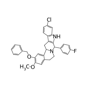 COc1cc2c(cc1OCc1ccccc1)C1Cc3c([nH]c4cc(Cl)ccc34)C(c3ccc(F)cc3)N1CC2